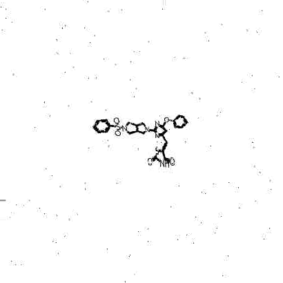 O=C1NC(=O)C(=Cc2cc(Oc3ccccc3)nc(N3CC4CN(S(=O)(=O)c5ccccc5)CC4C3)n2)S1